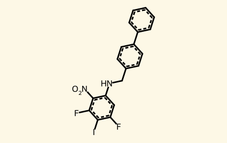 O=[N+]([O-])c1c(NCc2ccc(-c3ccccc3)cc2)cc(F)c(I)c1F